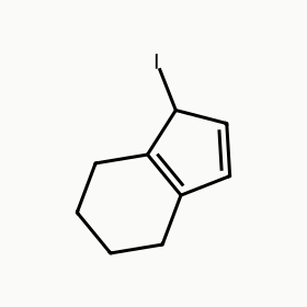 IC1C=CC2=C1CCCC2